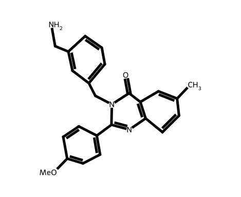 COc1ccc(-c2nc3ccc(C)cc3c(=O)n2Cc2cccc(CN)c2)cc1